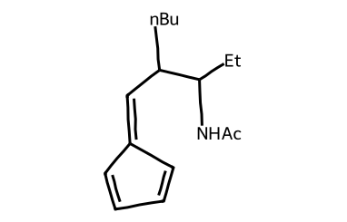 CCCCC(C=C1C=CC=C1)C(CC)NC(C)=O